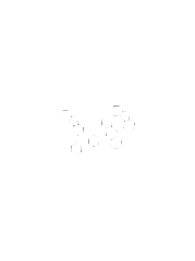 c1ccc(-c2ccc3oc4ccccc4c3c2)c(-c2ccc(-c3c4ccccc4c(-c4cccc5oc6ccccc6c45)c4ccccc34)cc2)c1